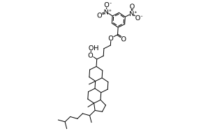 CC(C)CCCC(C)C1CCC2C3CCC4CC(C(CCCOC(=O)c5cc([N+](=O)[O-])cc([N+](=O)[O-])c5)OO)CCC4(C)C3CCC12C